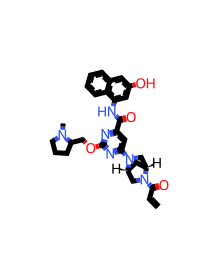 C=CC(=O)N1C[C@@H]2C[C@H]1CN2c1cc(C(=O)Nc2cc(O)cc3ccccc23)nc(OCC2CCCN2C)n1